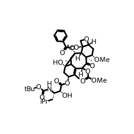 COC(=O)O[C@H]1C(=O)[C@]2(C)[C@@H](OC)C[C@H]3OC[C@@]3(OC(C)=O)[C@H]2[C@]2(OC(=O)c3ccccc3)C[C@@]3(C)C1=C(C)[C@@H](OC(=O)[C@H](O)[C@H](CC(C)C)NC(=O)OC(C)(C)C)C[C@]32O